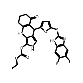 CCOC(=O)Oc1[nH]cc2c1NC1=C(C(=O)CCC1)C2c1ccc(Sc2nc3cc(F)c(F)cc3[nH]2)o1